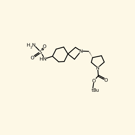 CC(C)(C)OC(=O)N1CC[C@@H](CN2CC3(CCC(NS(N)(=O)=O)CC3)C2)C1